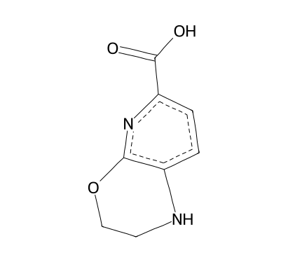 O=C(O)c1ccc2c(n1)OCCN2